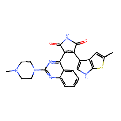 Cc1cc2c(C3=C(c4nc(N5CCN(C)CC5)nc5ccccc45)C(=O)NC3=O)c[nH]c2s1